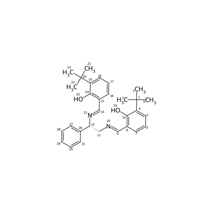 CC(C)(C)c1cccc(C=NC[C@@H](N=Cc2cccc(C(C)(C)C)c2O)c2ccccc2)c1O